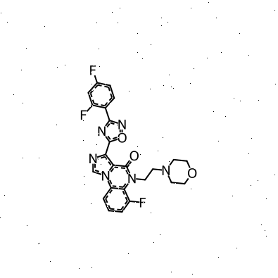 O=c1c2c(-c3nc(-c4ccc(F)cc4F)no3)ncn2c2cccc(F)c2n1CCN1CCOCC1